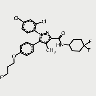 Cc1c(C(=O)NC2CCC(F)(F)CC2)nn(-c2ccc(Cl)cc2Cl)c1-c1ccc(OCCCF)cc1